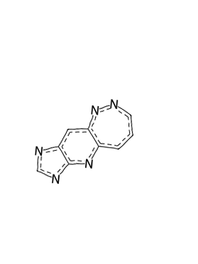 c1cnnc2cc3ncnc3nc2c1